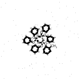 Cc1ccccc1OP1(Oc2ccccc2)=NP(Oc2ccccc2)(Oc2ccccc2)=NP(Oc2ccccc2)(Oc2ccccc2)=N1